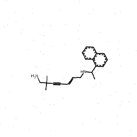 CC(NCC=CC#CC(C)(C)CN)c1cccc2ccccc12